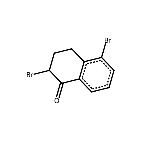 O=C1c2cccc(Br)c2CCC1Br